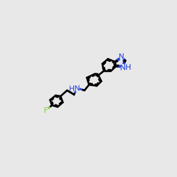 Fc1ccc(CCNCc2ccc(-c3ccc4nc[nH]c4c3)cc2)cc1